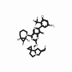 Nc1cc(Cl)c(C(F)(F)F)c(-c2ncc3c(N4CCCC[C@H]5[C@H](F)[C@H]54)nc(OC[C@]45C/C(=C\F)CN4CCC54CC4)nc3c2F)c1